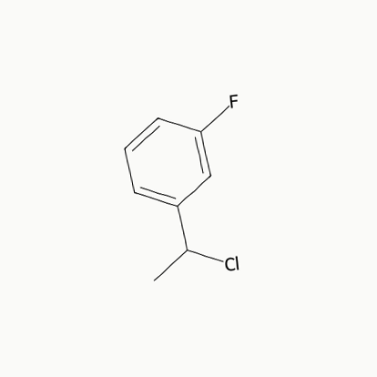 CC(Cl)c1cccc(F)c1